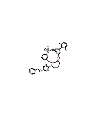 Cc1cccc(C)c1-c1cc2nc(n1)NS(=O)(=O)c1cccc(c1)CC1C[C@@H](CCCC[C@@H]1c1ncc(OCc3ccccc3)cn1)O2